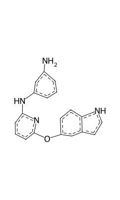 Nc1cccc(Nc2cccc(Oc3ccc4[nH]ccc4c3)n2)c1